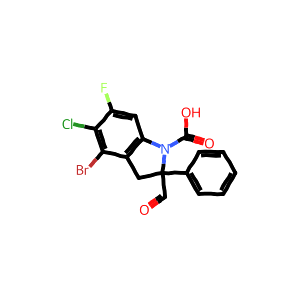 O=CC1(c2ccccc2)Cc2c(cc(F)c(Cl)c2Br)N1C(=O)O